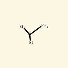 CC[C](P)CC